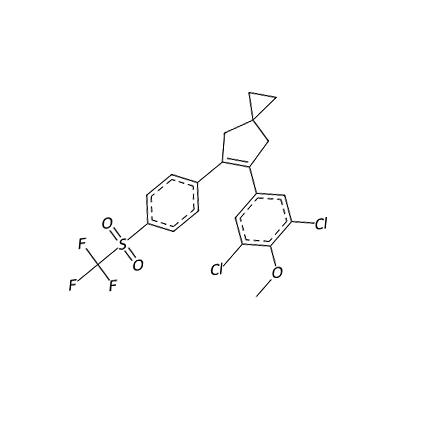 COc1c(Cl)cc(C2=C(c3ccc(S(=O)(=O)C(F)(F)F)cc3)CC3(CC3)C2)cc1Cl